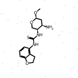 CO[C@H]1C[C@@H](N)[C@@H](NC(=S)Nc2cccc3c2CCO3)CO1